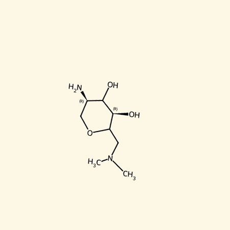 CN(C)CC1OC[C@@H](N)C(O)[C@H]1O